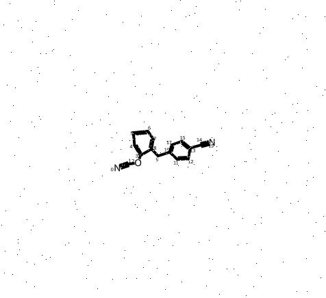 N#COc1ccccc1Cc1ccc(C#N)cc1